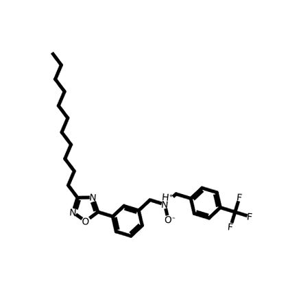 CCCCCCCCCCCc1noc(-c2cccc(C[NH+]([O-])Cc3ccc(C(F)(F)F)cc3)c2)n1